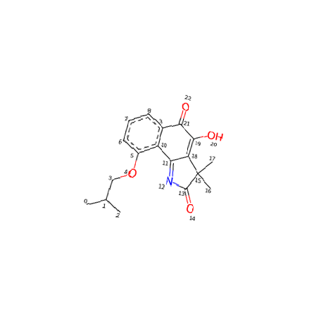 CC(C)COc1cccc2c1C1=NC(=O)C(C)(C)C1=C(O)C2=O